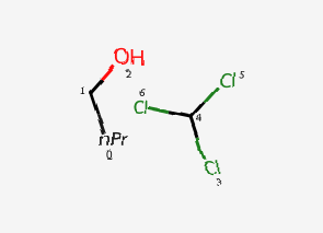 CCCCO.ClC(Cl)Cl